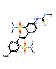 CC(=O)Nc1ccc(C=Cc2ccc(NC(=S)NC(C)C)cc2S(=O)(=O)N(C)C)c(S(=O)(=O)N(C)C)c1